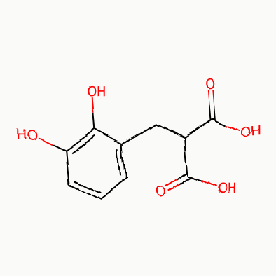 O=C(O)C(Cc1cccc(O)c1O)C(=O)O